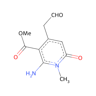 COC(=O)c1c(CC=O)cc(=O)n(C)c1N